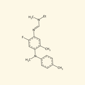 CCN(C)C=Nc1cc(C)c(N(C)c2ccc(C)cc2)cc1F